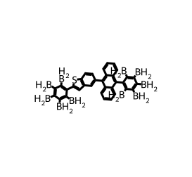 Bc1c(B)c(B)c(-c2cc3cc(-c4c5ccccc5c(-c5c(B)c(B)c(B)c(B)c5B)c5ccccc45)ccc3s2)c(B)c1B